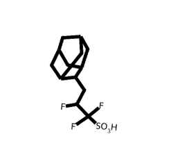 O=S(=O)(O)C(F)(F)C(F)CC1C2CC3CC(C2)CC1C3